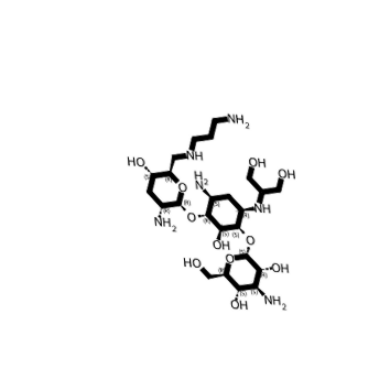 NCCCNC[C@H]1O[C@H](O[C@H]2[C@H](O)[C@@H](O[C@H]3O[C@H](CO)[C@@H](O)[C@H](N)[C@H]3O)[C@H](NC(CO)CO)C[C@@H]2N)[C@H](N)C[C@@H]1O